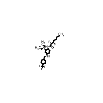 CCCCC[C@H](F)[C@H](F)C(=O)Nc1ccc(NCc2ccc(C(F)(F)F)cc2)cc1N(CC)CC